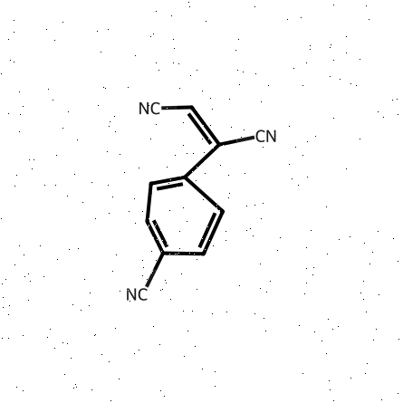 N#C/C=C(/C#N)c1ccc(C#N)cc1